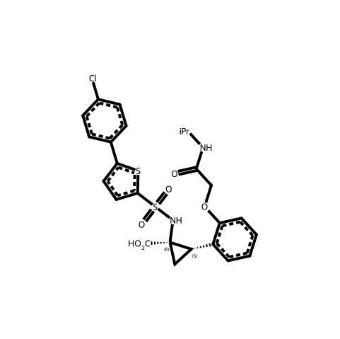 CC(C)NC(=O)COc1ccccc1[C@@H]1C[C@]1(NS(=O)(=O)c1ccc(-c2ccc(Cl)cc2)s1)C(=O)O